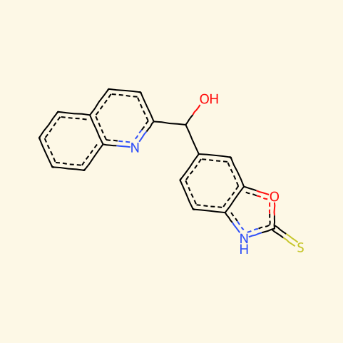 OC(c1ccc2[nH]c(=S)oc2c1)c1ccc2ccccc2n1